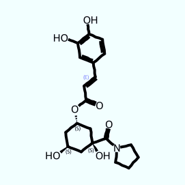 O=C(/C=C/c1ccc(O)c(O)c1)O[C@H]1C[C@H](O)C[C@@](O)(C(=O)N2CCCC2)C1